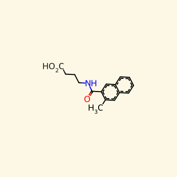 Cc1cc2ccccc2cc1C(=O)NCCCC(=O)O